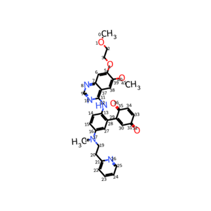 COCCOc1cc2ncnc(Nc3ccc(N(C)CCc4ccccn4)cc3C3=CC(=O)C=CC3=O)c2cc1OC